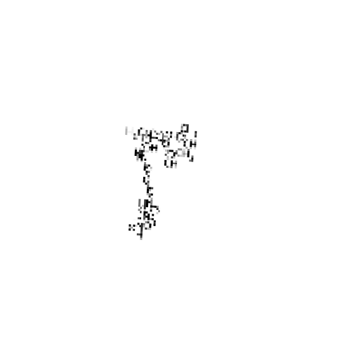 Cc1cc(C)cc(COc2cc3c(cc2OCc2cc(C)cc(C)c2)C2CC(O)(Cc4cn(CCOCCOCCOCCNc5cccc6c5C(=O)N(C5CCC(=O)NC5=O)C6=O)nn4)CC(C)N2CC3)c1